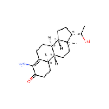 CC(O)[C@H]1CC[C@H]2[C@@H]3CCC4=C(N)C(=O)CC[C@]4(C)[C@H]3CC[C@]12C